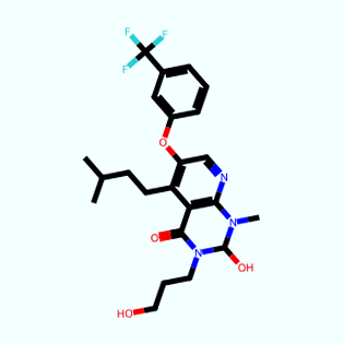 CC(C)CCc1c(Oc2cccc(C(F)(F)F)c2)cnc2c1C(=O)N(CCCO)C(O)N2C